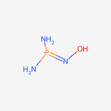 N[P](N)=NO